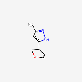 Cc1cc(C2CCOC2)[nH]n1